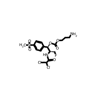 CS(=O)(=O)c1ccc([C@@H](OC(=O)OCCCN)[C@@H](CF)NC(=O)C(Cl)Cl)cc1